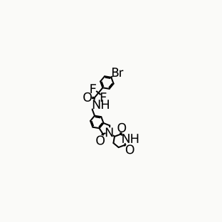 O=C1CCC(N2Cc3cc(CNC(=O)C(F)(F)c4ccc(Br)cc4)ccc3C2=O)C(=O)N1